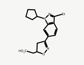 CCc1nn(C2CCCC2)c2cc(C3=NOC(CC(=O)O)C3)ccc12